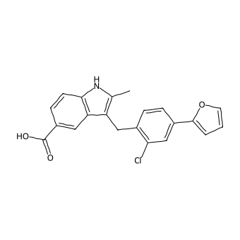 Cc1[nH]c2ccc(C(=O)O)cc2c1Cc1ccc(-c2ccco2)cc1Cl